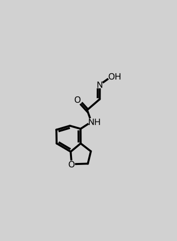 O=C(C=NO)Nc1cccc2c1CCO2